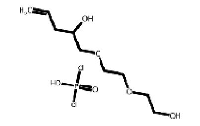 C=CCC(O)COCCOCCO.O=P(O)(Cl)Cl